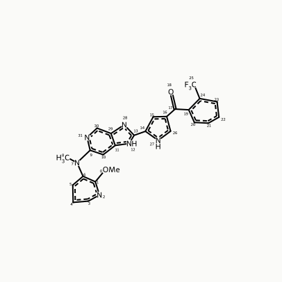 COc1ncccc1N(C)c1cc2[nH]c(-c3cc(C(=O)c4ccccc4C(F)(F)F)c[nH]3)nc2cn1